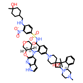 CN1CCN(C2CC3(CCN(c4ccc(C(=O)NS(=O)(=O)c5ccc(NCC6CCC(C)(O)CC6)c([N+](=O)[O-])c5)c(N5c6cc7cc[nH]c7nc6O[C@H]6COCC[C@@H]65)c4)CC3)C2)[C@@H](c2ccccc2C(C)(C)O)C1